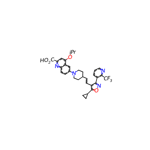 CC(C)Oc1cc(C(=O)O)nc2ccc(N3CCC(/C=C/c4c(-c5cccnc5C(F)(F)F)noc4C4CC4)CC3)cc12